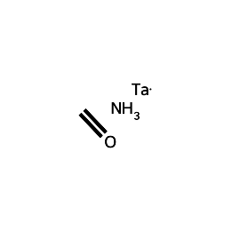 C=O.N.[Ta]